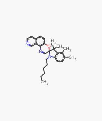 CCCCCCN1c2ccc(C)c(C)c2C(C)(C)C12C=Nc1c(ccc3ccncc13)O2